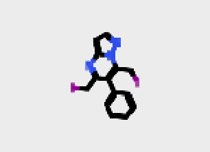 ICc1nc2ccnn2c(CI)c1-c1ccccc1